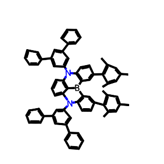 Cc1cc(C)c(-c2ccc3c(c2)B2c4cc(-c5c(C)cc(C)cc5C)ccc4N(c4cc(-c5ccccc5)cc(-c5ccccc5)c4)c4cccc(c42)N3c2cc(-c3ccccc3)cc(-c3ccccc3)c2)c(C)c1